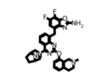 CN1CCc2cccc(Oc3nc(N4CC5CCC(C4)N5)c4cccc(Cc5cc(F)c(F)c6oc(N)nc56)c4n3)c2C1